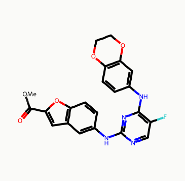 COC(=O)c1cc2cc(Nc3ncc(F)c(Nc4ccc5c(c4)OCCO5)n3)ccc2o1